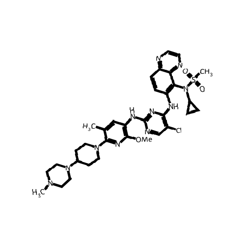 COc1nc(N2CCC(N3CCN(C)CC3)CC2)c(C)cc1Nc1ncc(Cl)c(Nc2ccc3nccnc3c2N(C2CC2)S(C)(=O)=O)n1